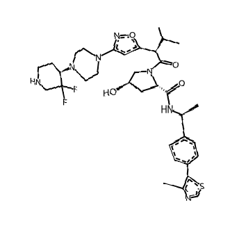 Cc1ncsc1-c1ccc([C@H](C)NC(=O)[C@@H]2C[C@@H](O)CN2C(=O)[C@@H](c2cc(N3CCN([C@@H]4CCNCC4(F)F)CC3)no2)C(C)C)cc1